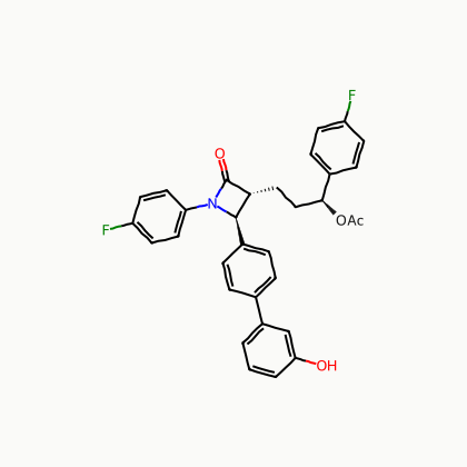 CC(=O)O[C@@H](CC[C@H]1C(=O)N(c2ccc(F)cc2)[C@@H]1c1ccc(-c2cccc(O)c2)cc1)c1ccc(F)cc1